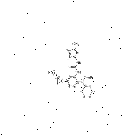 Cc1cc(NC(=O)Nc2cc([C@H]3C[C@H]3C(=O)O)ccc2N(CC(C)C)C2CCCCC2)no1